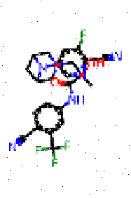 CC(O)(CN1CC2CC(C1)N2c1cnc(C#N)c(F)c1)C(=O)Nc1ccc(C#N)c(C(F)(F)F)c1